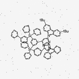 CC(C)(C)c1ccc2c(c1)c1cc(C(C)(C)C)ccc1n2-c1cc(-c2cc([Si](c3ccccc3)(c3ccccc3)c3cccc(-c4ccccc4)c3)cc([Si](c3ccccc3)(c3ccccc3)c3cccc(-c4ccccc4)c3)c2)nc(-n2c3ccccc3c3ccccc32)n1